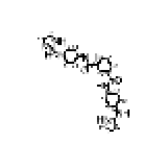 O=C(Nc1ccc(NC2=NCCN2)cc1)c1cccc(C(=O)Nc2ccc(NC3=NCCN3)cc2)c1